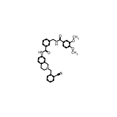 COc1ccc(C(=O)NCc2cccc(C(=O)Nc3ccc4c(c3)CN(Cc3ccccc3C#N)CC4)c2)cc1OC